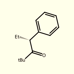 CC[C@@H](C(=O)C(C)(C)C)c1ccccc1